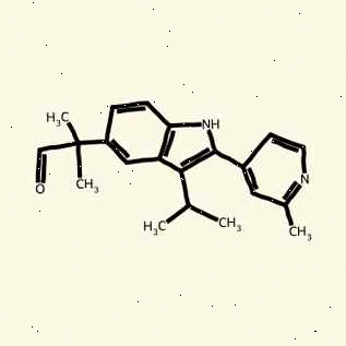 Cc1cc(-c2[nH]c3ccc(C(C)(C)C=O)cc3c2C(C)C)ccn1